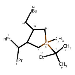 CCCC(CCC)C1CS(C)(C(C)(C)CC)CC1CC(C)CC